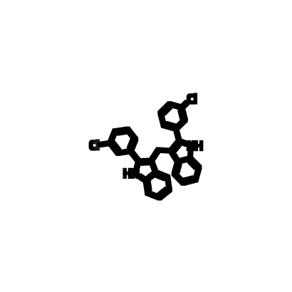 Clc1cccc(-c2[nH]c3ccccc3c2Cc2c(-c3cccc(Cl)c3)[nH]c3ccccc23)c1